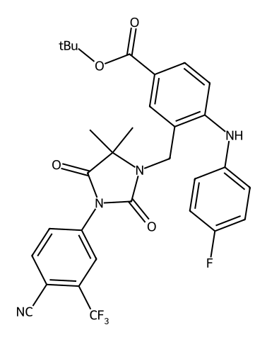 CC(C)(C)OC(=O)c1ccc(Nc2ccc(F)cc2)c(CN2C(=O)N(c3ccc(C#N)c(C(F)(F)F)c3)C(=O)C2(C)C)c1